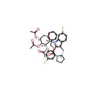 CC(=O)O[C@@H]1[C@@H](OC(C)=O)[C@H](OC(C)=O)CO[C@H]1n1c(-c2ccc(F)cc2)c(C[C@@H]2CCCN2C(=O)OCc2ccccc2)c2ccc(F)cc21